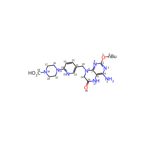 CCCCOc1nc(N)c2c(n1)N(Cc1ccc(N3CCN(C(=O)O)CC3)nc1)CC(=O)N2